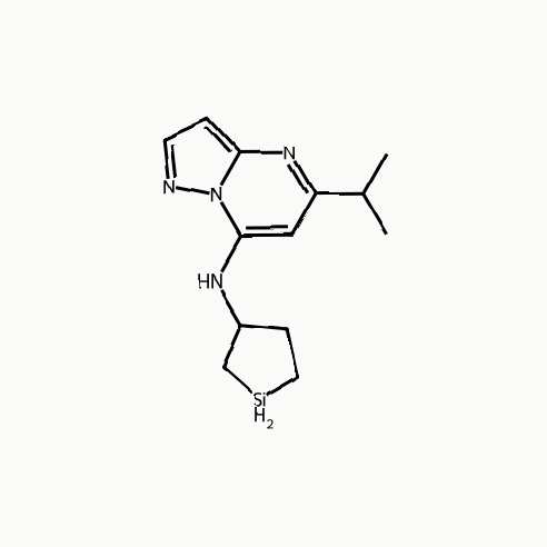 CC(C)c1cc(NC2CC[SiH2]C2)n2nccc2n1